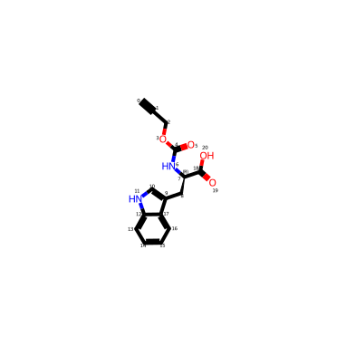 C#CCOC(=O)N[C@H](Cc1c[nH]c2ccccc12)C(=O)O